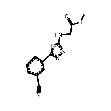 COC(=O)CNc1nc(-c2cccc(C#N)c2)ns1